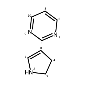 C1=CNCC1.c1cncnc1